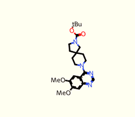 COc1cc2ncnc(N3CCC4(CCN(C(=O)OC(C)(C)C)C4)CC3)c2cc1OC